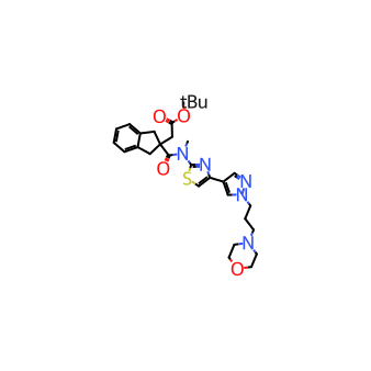 CN(C(=O)C1(CC(=O)OC(C)(C)C)Cc2ccccc2C1)c1nc(-c2cnn(CCCN3CCOCC3)c2)cs1